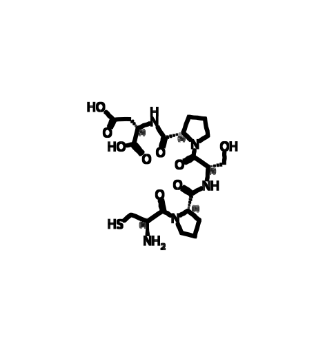 N[C@@H](CS)C(=O)N1CCC[C@H]1C(=O)N[C@@H](CO)C(=O)N1CCC[C@H]1C(=O)N[C@@H](CC(=O)O)C(=O)O